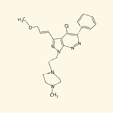 COCC=Cc1nn(CCN2CCN(C)CC2)c2nnc(-c3ccccc3)c(Cl)c12